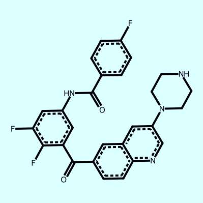 O=C(Nc1cc(F)c(F)c(C(=O)c2ccc3ncc(N4CCNCC4)cc3c2)c1)c1ccc(F)cc1